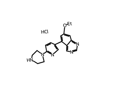 CCOc1cc(-c2ccc(N3CCNCC3)nc2)c2cncnc2c1.Cl